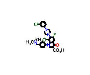 CN(C)Cc1ccc(-n2cc(C(=O)O)c(=O)c3cc(F)c(N4CCN(c5cccc(Cl)c5)CC4)c(Cl)c32)cc1